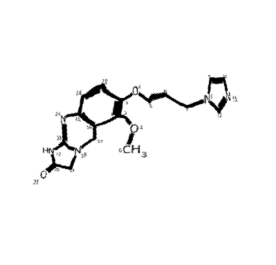 COc1c(OCCCn2ccnc2)ccc2c1CN1CC(=O)NC1=N2